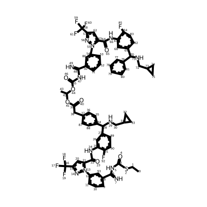 CCSC(=O)NC(=N)c1cccc(-n2nc(C(F)(F)F)cc2C(=O)Nc2cc(C(NCC3CC3)c3ccc(CC(=O)OC(C)OC(=O)NC(=N)c4cccc(-n5nc(C(F)(F)F)cc5C(=O)Nc5cc(C(NCC6CC6)c6ccccc6)ccc5F)c4)cc3)ccc2F)c1